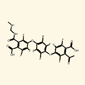 CNCNC(=O)c1c(F)c(Oc2c(F)c(F)c(Oc3c(F)c(F)c(C(=O)O)c(C(C)=O)c3F)c(F)c2F)c(F)c(F)c1C(=O)O